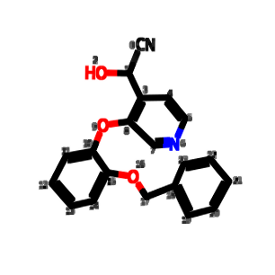 N#CC(O)c1ccncc1Oc1ccccc1OCc1ccccc1